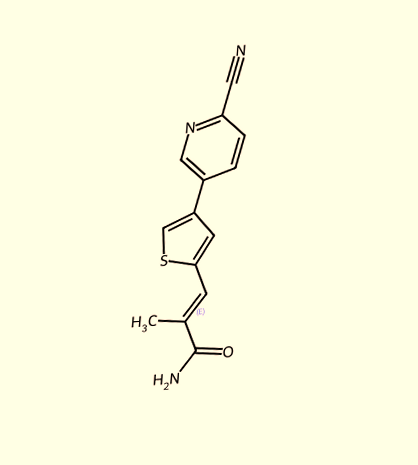 C/C(=C\c1cc(-c2ccc(C#N)nc2)cs1)C(N)=O